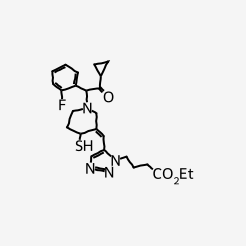 CCOC(=O)CCCn1nncc1C=C1CN(C(C(=O)C2CC2)c2ccccc2F)CCC1S